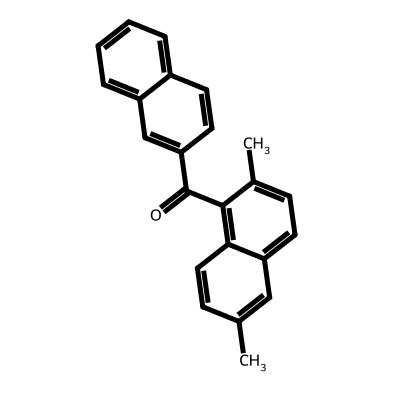 Cc1ccc2c(C(=O)c3ccc4ccccc4c3)c(C)ccc2c1